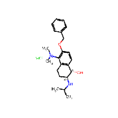 CC(C)N[C@H]1CCc2c(ccc(OCc3ccccc3)c2N(C)C)[C@@H]1O.Cl